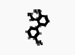 CCOc1c(N)cccc1-c1cccc(N)c1